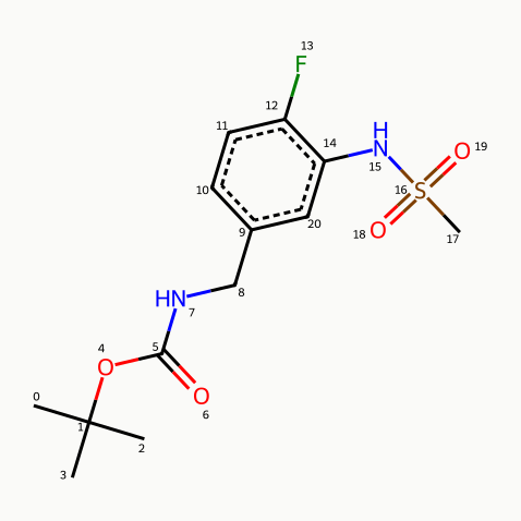 CC(C)(C)OC(=O)NCc1ccc(F)c(NS(C)(=O)=O)c1